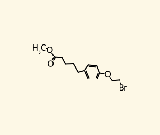 COC(=O)CCCCc1ccc(OCCBr)cc1